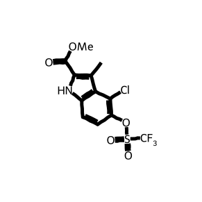 COC(=O)c1[nH]c2ccc(OS(=O)(=O)C(F)(F)F)c(Cl)c2c1C